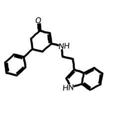 O=C1C=C(NCCc2c[nH]c3ccccc23)CC(c2ccccc2)C1